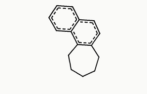 c1ccc2c3c(ccc2c1)CCCCC3